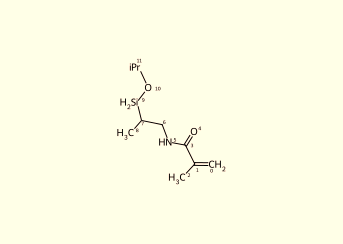 C=C(C)C(=O)NCC(C)[SiH2]OC(C)C